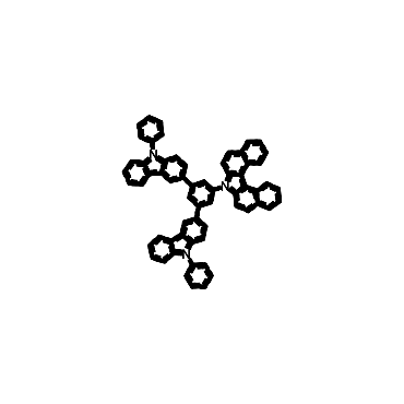 c1ccc(-n2c3ccccc3c3cc(-c4cc(-c5ccc6c(c5)c5ccccc5n6-c5ccccc5)cc(-n5c6ccc7ccccc7c6c6c7ccccc7ccc65)c4)ccc32)cc1